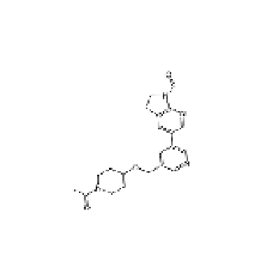 CC(=O)N1CCC(OCc2cncc(-c3cnc4c(c3)CCN4C=O)c2)CC1